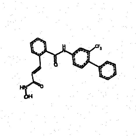 O=C(C=Cc1ccccc1C(=O)Nc1ccc(-c2ccccc2)c(C(F)(F)F)c1)NO